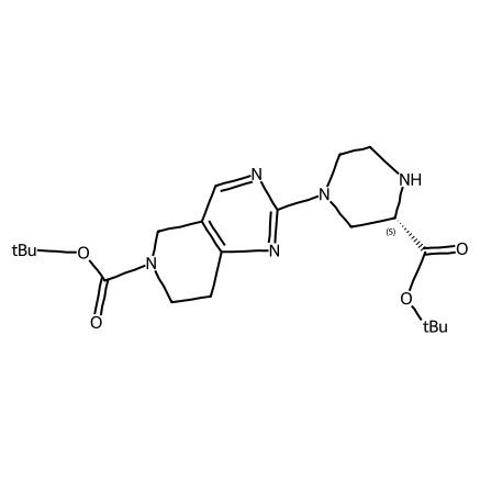 CC(C)(C)OC(=O)[C@@H]1CN(c2ncc3c(n2)CCN(C(=O)OC(C)(C)C)C3)CCN1